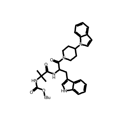 CC(C)(C)OC(=O)NC(C)(C)C(=O)NC(Cc1c[nH]c2ccccc12)C(=O)N1CCC(n2ccc3ccccc32)CC1